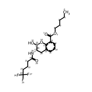 CCCCCOC(=O)c1cccc2c1OB(O)[C@@H](NC(=O)CCCC(F)(F)F)C2